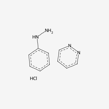 Cl.NNc1ccccc1.c1ccnnc1